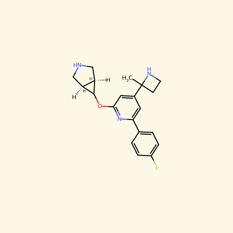 CC1(c2cc(OC3[C@H]4CNC[C@@H]34)nc(-c3ccc(F)cc3)c2)CCN1